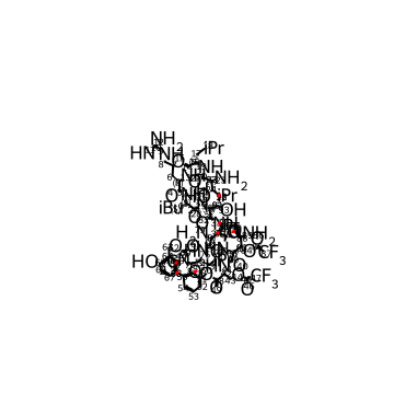 CC[C@H](C)[C@H](NC(=O)[C@@H](CCCNC(=N)N)NC(=O)[C@H](CC(C)C)NC(=O)[C@@H](N)C(O)C(C)C)C(=O)N[C@H](C(=O)NCC(=O)N[C@H](C(=O)NC(COC(=O)C(F)(F)F)C(=O)Oc1cccc(C[C@@H](C(=O)O)N(C(=O)OCc2ccccc2)C(=O)[C@H](CC(C)C)NC(=O)[C@H](N)CC(C)C)c1)[C@H](OC(=O)C(F)(F)F)C(N)=O)[C@H](C)O